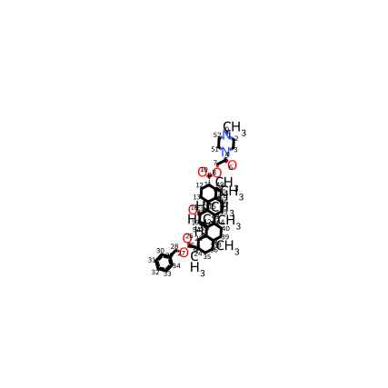 CN1CCN(C(=O)COC(=O)[C@H]2CC[C@]3(C)[C@H]4C(=O)C=C5[C@@H]6C[C@@](C)(C(=O)OCc7ccccc7)CC[C@]6(C)CC[C@@]5(C)[C@]4(C)CC[C@H]3C2(C)C)CC1